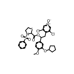 COc1ccc(C(Cc2c(Cl)c[n+]([O-])cc2Cl)OC(=O)C2SCCN2S(=O)(=O)c2ccccc2)cc1OC1CCCC1